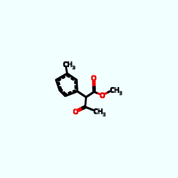 COC(=O)C(C(C)=O)c1cccc(C)c1